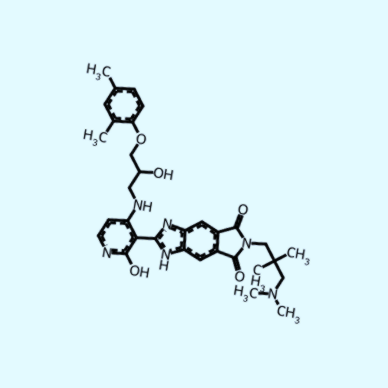 Cc1ccc(OCC(O)CNc2ccnc(O)c2-c2nc3cc4c(cc3[nH]2)C(=O)N(CC(C)(C)CN(C)C)C4=O)c(C)c1